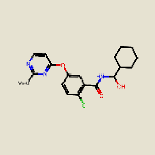 COc1nccc(Oc2ccc(Cl)c(C(=O)NC(O)C3CCCCC3)c2)n1